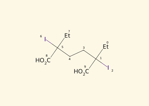 CCC(I)(CCC(I)(CC)C(=O)O)C(=O)O